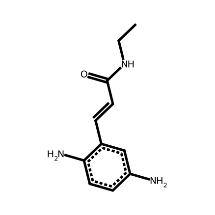 CCNC(=O)C=Cc1cc(N)ccc1N